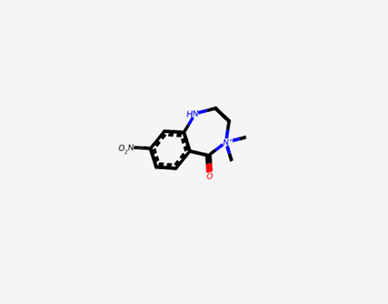 C[N+]1(C)CCNc2cc([N+](=O)[O-])ccc2C1=O